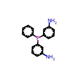 Nc1cccc(P(c2ccccc2)c2cccc(N)c2)c1